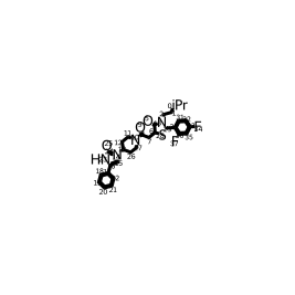 CC(C)CCN1C(=O)C(CC(=O)N2CCC(n3cc(-c4ccccc4)[nH]c3=O)CC2)SC1c1ccc(F)cc1F